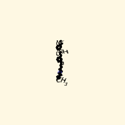 CCC/C=C/CCCOc1cccc(CC(=O)Nc2ccc3ncsc3c2)c1